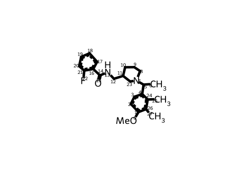 COc1ccc(C(C)N2CCCC(CNC(=O)c3ccccc3F)C2)c(C)c1C